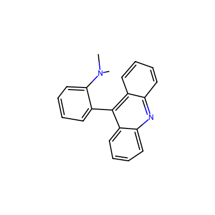 CN(C)c1ccccc1-c1c2ccccc2nc2ccccc12